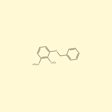 CCCCCc1cccc(OCc2ccccc2)c1C=O